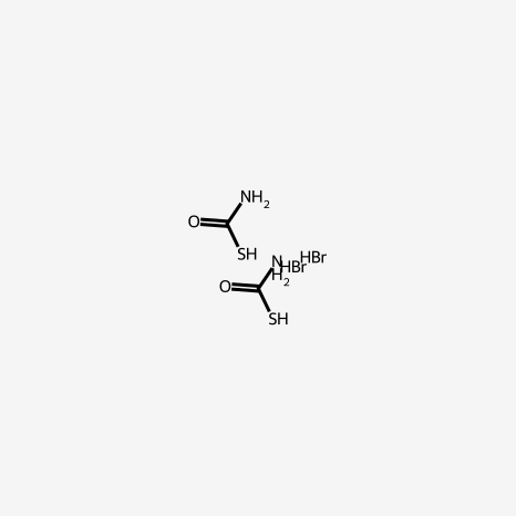 Br.Br.NC(=O)S.NC(=O)S